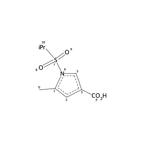 Cc1cc(C(=O)O)cn1S(=O)(=O)C(C)C